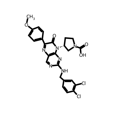 COc1ccc(-c2nc3cnc(NCc4ccc(Cl)c(Cl)c4)nc3n([C@@H]3CCN(C(=O)O)C3)c2=O)cc1